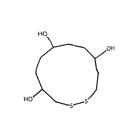 OC1CCSSCC(O)CCC(O)CC1